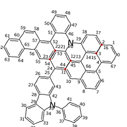 C1=CCCC(c2cccc3cccc(-c4ccccc4N(c4ccc(-c5ccc6c7ccccc7n(-c7ccccc7)c6c5)cc4)c4ccccc4-c4cccc5c4ccc4ccccc45)c23)=C1